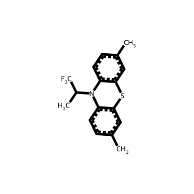 Cc1ccc2c(c1)Sc1cc(C)ccc1N2C(C)C(F)(F)F